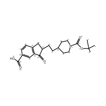 CC(C)(C)OC(=O)N1CCC(CCC2Cc3ccc(C(=O)O)cc3C2=O)CC1